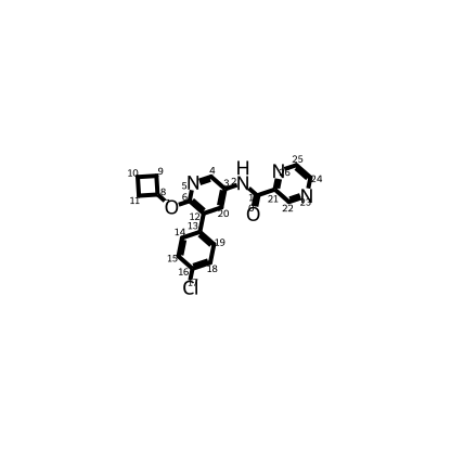 O=C(Nc1cnc(OC2CCC2)c(-c2ccc(Cl)cc2)c1)c1cnccn1